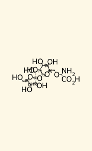 NC(OC[C@H]1O[C@H](O[C@]2(CO)O[C@H](CO)[C@@H](O)[C@@H]2O)[C@H](O)[C@@H](O)[C@@H]1O)C(=O)O